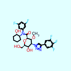 CO[C@@H]1[C@@H](n2cc(-c3cc(F)c(F)c(F)c3)nn2)[C@@H](O)[C@@H](CO)O[C@H]1C(=O)N(c1cc(F)cc(F)c1)[C@H]1CCCC[C@@H]1O